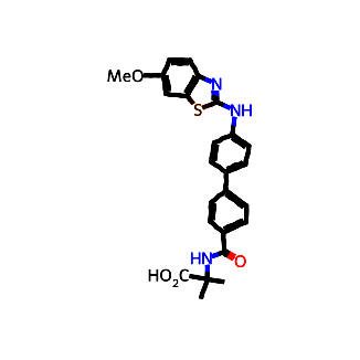 COc1ccc2nc(Nc3ccc(-c4ccc(C(=O)NC(C)(C)C(=O)O)cc4)cc3)sc2c1